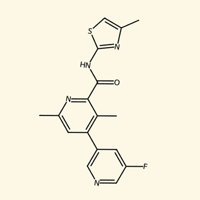 Cc1csc(NC(=O)c2nc(C)cc(-c3cncc(F)c3)c2C)n1